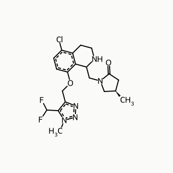 C[C@@H]1CC(=O)N(CC2NCCc3c(Cl)ccc(OCc4nnn(C)c4C(F)F)c32)C1